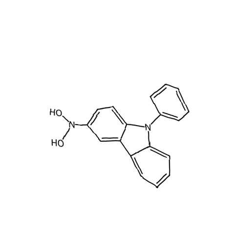 ON(O)c1ccc2c(c1)c1ccccc1n2-c1ccccc1